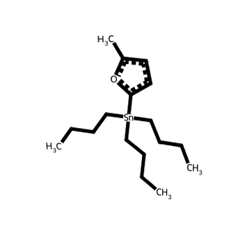 CCC[CH2][Sn]([CH2]CCC)([CH2]CCC)[c]1ccc(C)o1